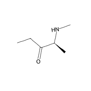 CCC(=O)[C@H](C)NC